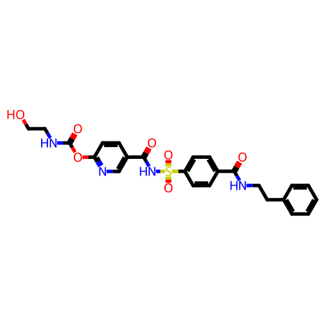 O=C(NCCO)Oc1ccc(C(=O)NS(=O)(=O)c2ccc(C(=O)NCCc3ccccc3)cc2)cn1